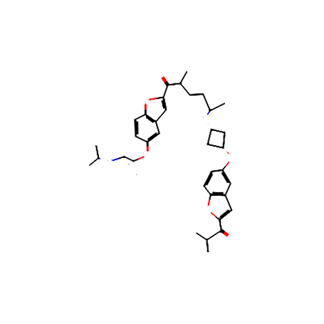 CC(C)NC[C@@H](C)Oc1ccc2oc(C(=O)C(C)CCC(C)N[C@H]3C[C@H](Oc4ccc5oc(C(=O)C(C)C)cc5c4)C3)cc2c1